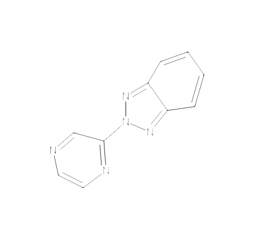 c1ccc2nn(-c3cnccn3)nc2c1